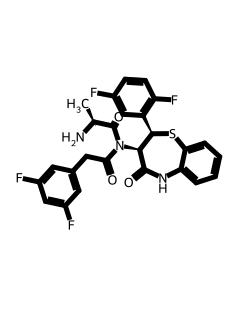 C[C@H](N)C(=O)N(C(=O)Cc1cc(F)cc(F)c1)[C@@H]1C(=O)Nc2ccccc2S[C@@H]1c1cc(F)ccc1F